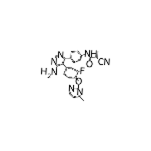 C=C(C#N)C(=O)Nc1ccc(-c2ncnc(N)c2-c2ccc(Oc3nccc(C)n3)c(F)c2)cc1